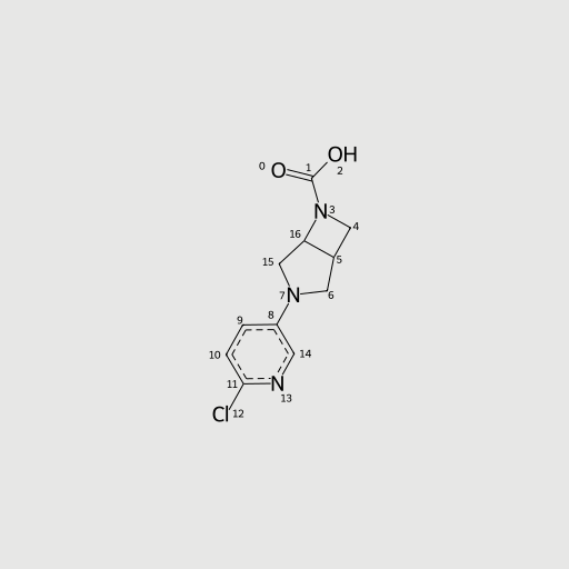 O=C(O)N1CC2CN(c3ccc(Cl)nc3)CC21